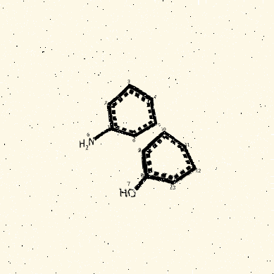 Nc1ccccc1.Oc1ccccc1